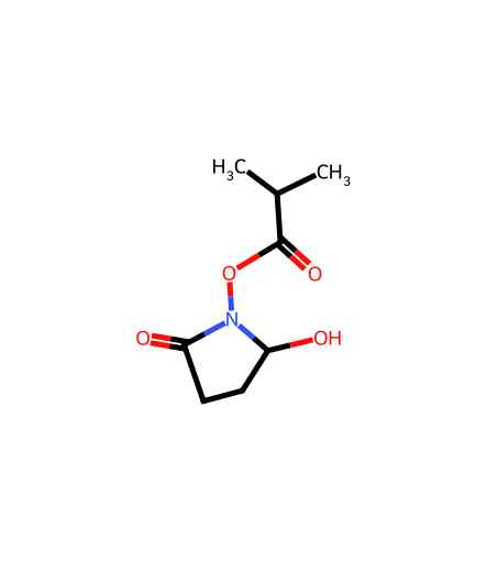 CC(C)C(=O)ON1C(=O)CCC1O